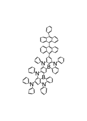 c1ccc(-c2c3ccccc3c(-c3c4ccccc4c(-c4cc5c6c(c4)N(c4ccccc4)c4cc7c(cc4B6c4ccccc4N5c4ccccc4)B4c5ccccc5N(c5ccccc5)c5cc(N(c6ccccc6)c6ccccc6)cc(c54)N7c4ccccc4)c4ccccc34)c3ccccc23)cc1